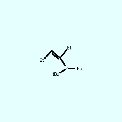 CCC=C(CC)P(C(C)(C)C)C(C)(C)C